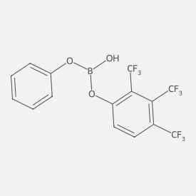 OB(Oc1ccccc1)Oc1ccc(C(F)(F)F)c(C(F)(F)F)c1C(F)(F)F